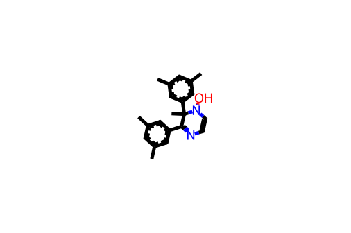 Cc1cc(C)cc(C2=NC=CN(O)C2(C)c2cc(C)cc(C)c2)c1